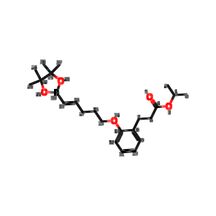 CC(C)OC(=O)CCc1ccccc1OCCCC=CB1OC(C)(C)C(C)(C)O1